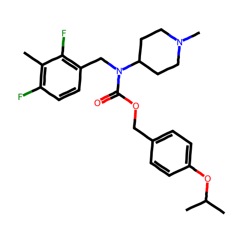 Cc1c(F)ccc(CN(C(=O)OCc2ccc(OC(C)C)cc2)C2CCN(C)CC2)c1F